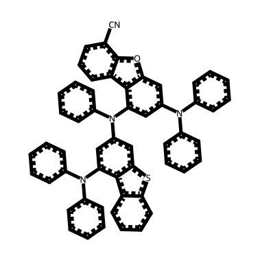 N#Cc1cccc2c1oc1cc(N(c3ccccc3)c3ccccc3)cc(N(c3ccccc3)c3cc(N(c4ccccc4)c4ccccc4)c4c(c3)sc3ccccc34)c12